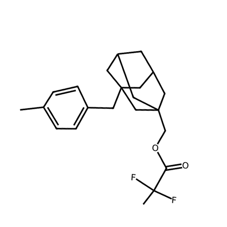 Cc1ccc(CC23CC4CC(CC(COC(=O)C(C)(F)F)(C4)C2)C3)cc1